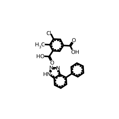 Cc1c(Cl)cc(C(=O)O)cc1C(=O)O.c1ccc(-c2cccc3[nH]nnc23)cc1